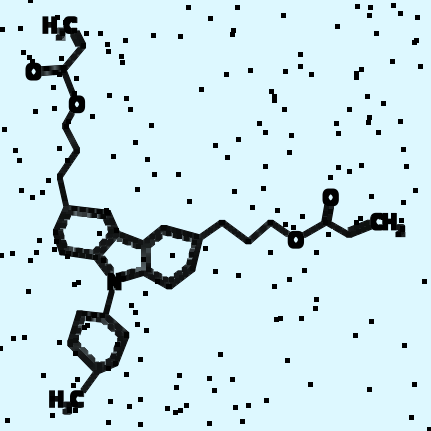 C=CC(=O)OCCCc1ccc2c(c1)c1cc(CCCOC(=O)C=C)ccc1n2-c1ccc(C)cc1